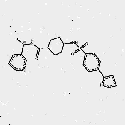 C[C@@H](NC(=O)[C@H]1CC[C@H](NS(=O)(=O)c2ccc(-n3cccn3)cc2)CC1)c1cccnc1